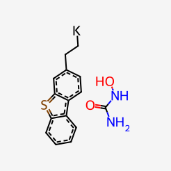 NC(=O)NO.[K][CH2]Cc1ccc2c(c1)sc1ccccc12